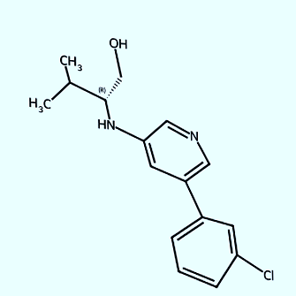 CC(C)[C@H](CO)Nc1cncc(-c2cccc(Cl)c2)c1